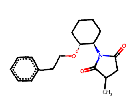 CC1CC(=O)N([C@@H]2CCCC[C@H]2OCCc2ccccc2)C1=O